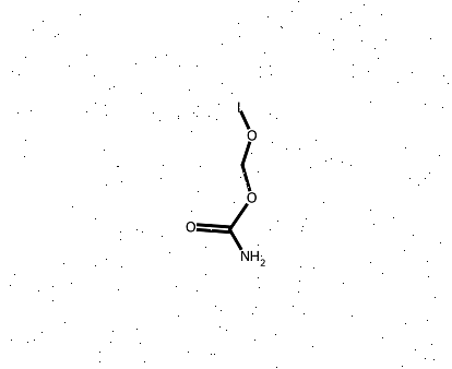 NC(=O)OCOI